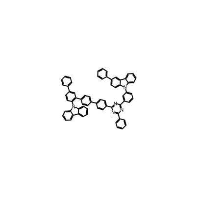 c1ccc(-c2ccc(-n3c4ccccc4c4ccccc43)c(-c3ccc(-c4ccc(-c5nc(-c6ccccc6)nc(-c6cccc(-n7c8ccccc8c8cc(-c9ccccc9)ccc87)c6)n5)cc4)cc3)c2)cc1